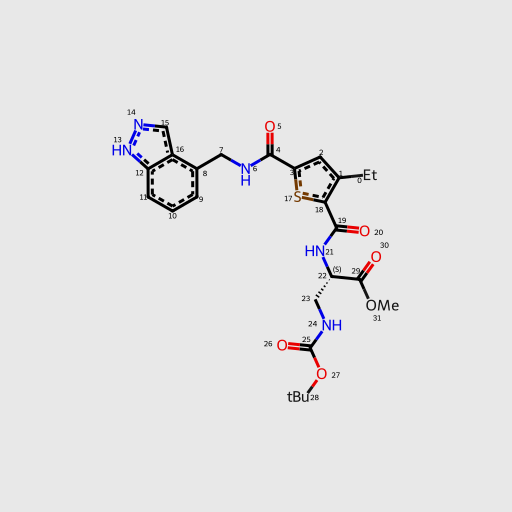 CCc1cc(C(=O)NCc2cccc3[nH]ncc23)sc1C(=O)N[C@@H](CNC(=O)OC(C)(C)C)C(=O)OC